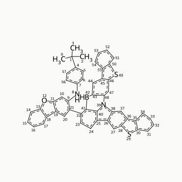 CC(C)(C)c1ccc(Nc2cc3oc4ccccc4c3cc2-c2ccc3c4cc5sc6ccccc6c5cc4n4c3c2Bc2cc3c(cc2-4)sc2ccccc23)cc1